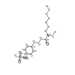 CCCCCCCN(CC)C(=O)CCCc1ccc(NS(C)(=O)=O)cc1